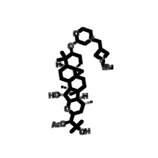 CC(=O)O[C@@H](C1C[C@@H](C)[C@H]2C(O1)[C@H](O)[C@@]1(C)C3CC[C@H]4C(C)(C)[C@@H](O[C@H]5CN(CC6CN(C(C)(C)C)C6)CCO5)CC[C@@]45C[C@@]35CC[C@]21C)C(C)(C)O